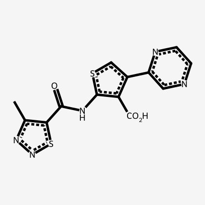 Cc1nnsc1C(=O)Nc1scc(-c2cnccn2)c1C(=O)O